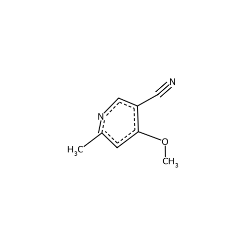 COc1cc(C)ncc1C#N